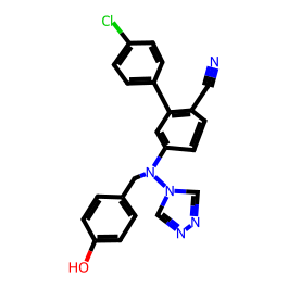 N#Cc1ccc(N(Cc2ccc(O)cc2)n2cnnc2)cc1-c1ccc(Cl)cc1